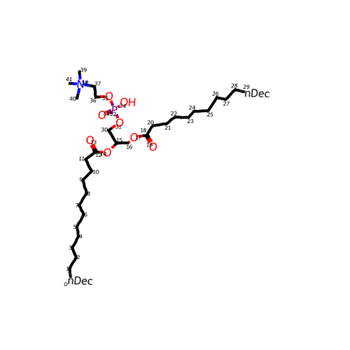 CCCCCCCCCCCCCCCCCCCCCC(=O)OC(COC(=O)CCCCCCCCCCCCCCCCCCC)COP(=O)(O)OCC[N+](C)(C)C